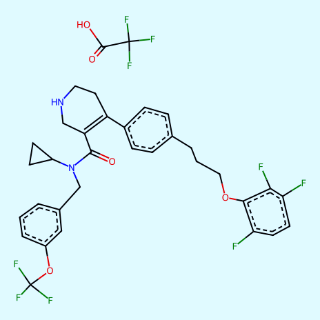 O=C(C1=C(c2ccc(CCCOc3c(F)ccc(F)c3F)cc2)CCNC1)N(Cc1cccc(OC(F)(F)F)c1)C1CC1.O=C(O)C(F)(F)F